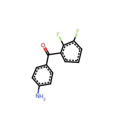 Nc1ccc(C(=O)c2cccc(F)c2F)cc1